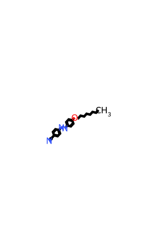 CCCCCCCCOc1ccc(N=Nc2ccc(C#N)cc2)cc1